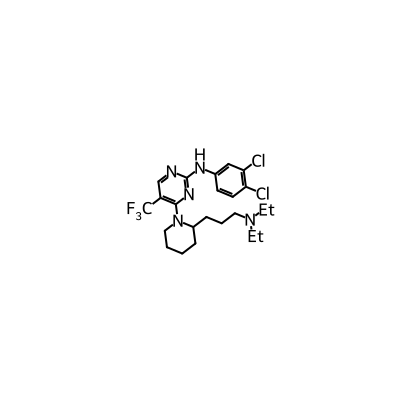 CCN(CC)CCCC1CCCCN1c1nc(Nc2ccc(Cl)c(Cl)c2)ncc1C(F)(F)F